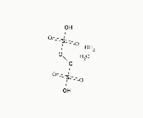 O.O.O=S(=O)(O)OOS(=O)(=O)O